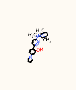 CN(c1ccc(-c2ccc(-n3cccc3)cc2O)nn1)C1C[C@]2(C)CC[C@](C)(C1)N2